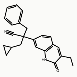 CCc1cc2ccc(C(C#N)(Cc3ccccc3)CC3CC3)cc2[nH]c1=O